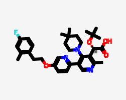 Cc1cc(F)ccc1CCOc1ccc(-c2cnc(C)c([C@H](OC(C)(C)C)C(=O)O)c2N2CCC(C)(C)CC2)nc1